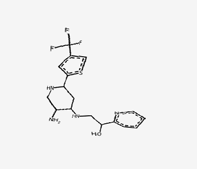 NC1CNC(c2cc(C(F)(F)F)cs2)CC1NCC(O)c1ccccn1